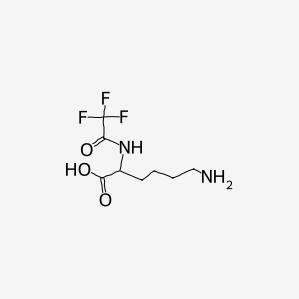 NCCCCC(NC(=O)C(F)(F)F)C(=O)O